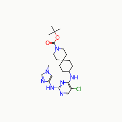 Cn1cnc(Nc2ncc(Cl)c(NC3CCC4(CC3)CCN(C(=O)OC(C)(C)C)CC4)n2)c1